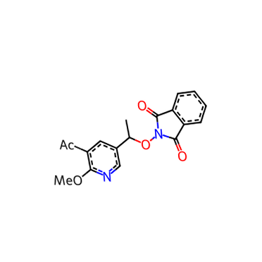 COc1ncc(C(C)ON2C(=O)c3ccccc3C2=O)cc1C(C)=O